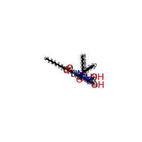 CCCCCCCCCCCCOC(=O)CCSCCC(NC(=O)C(CCCCCC)CCCCCCCC)C(=O)NCCCN(CCO)CCO